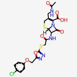 CC(=O)NCC1=C(C(=O)O)N2C(=O)C(NC(=O)CSc3nnc(COc4ccc(Cl)cc4)o3)[C@@H]2SC1